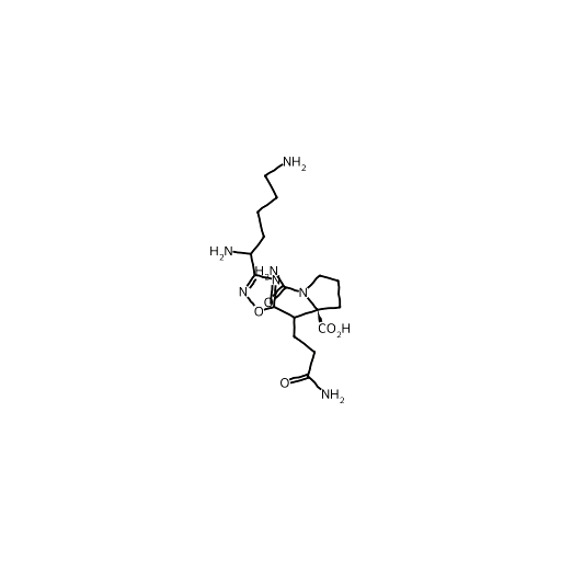 NCCCCC(N)c1noc(C(CCC(N)=O)[C@@]2(C(=O)O)CCCN2C(N)=O)n1